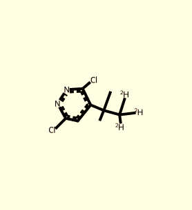 [2H]C([2H])([2H])C(C)(C)c1cc(Cl)nnc1Cl